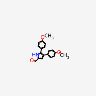 COc1ccc(-c2cc(C=O)[nH]c2-c2ccc(OC)cc2)cc1